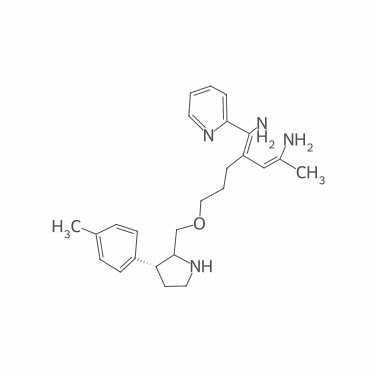 C/C(N)=C/C(CCCOCC1NCC[C@@H]1c1ccc(C)cc1)=C(\N)c1ccccn1